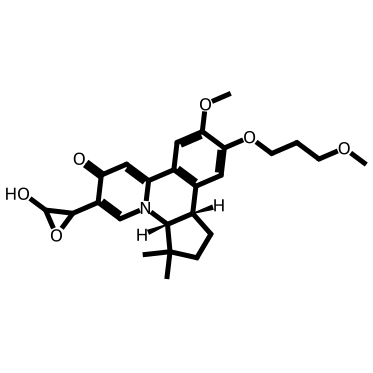 COCCCOc1cc2c(cc1OC)-c1cc(=O)c(C3OC3O)cn1[C@@H]1[C@H]2CCC1(C)C